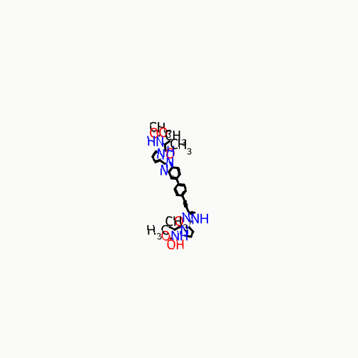 COC(=O)N[C@H](C(=O)N1CCCC1c1nc2cc(-c3ccc(C#Cc4c[nH]c([C@@H]5CCCN5C(=O)[C@@H](NC(=O)O)C(C)C)n4)cc3)ccc2[nH]1)C(C)C